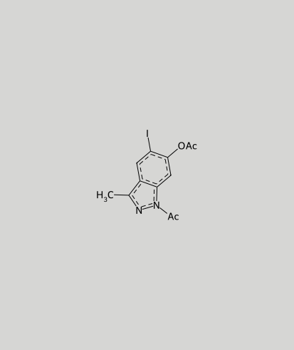 CC(=O)Oc1cc2c(cc1I)c(C)nn2C(C)=O